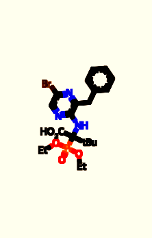 CCOP(=O)(OCC)C(Nc1ncc(Br)nc1Cc1ccccc1)(C(=O)O)C(C)(C)C